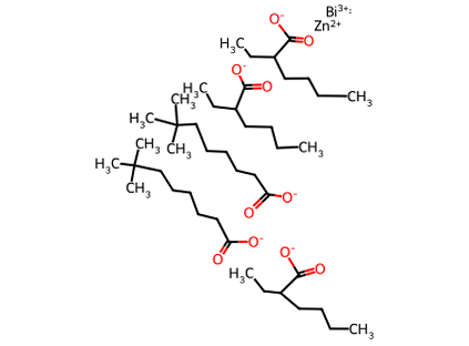 CC(C)(C)CCCCCC(=O)[O-].CC(C)(C)CCCCCC(=O)[O-].CCCCC(CC)C(=O)[O-].CCCCC(CC)C(=O)[O-].CCCCC(CC)C(=O)[O-].[Bi+3].[Zn+2]